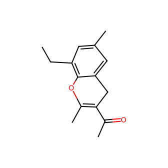 CCc1cc(C)cc2c1OC(C)=C(C(C)=O)C2